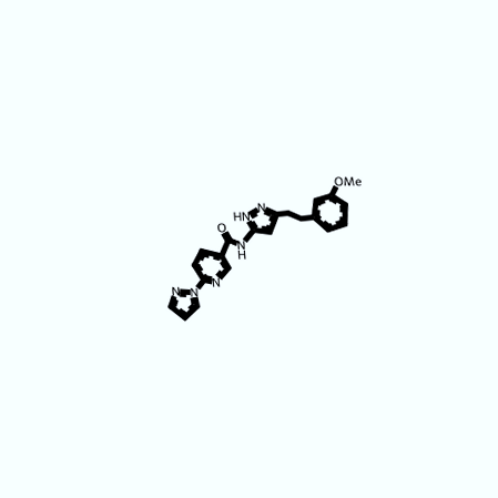 COc1cccc(CCc2cc(NC(=O)c3ccc(-n4cccn4)nc3)[nH]n2)c1